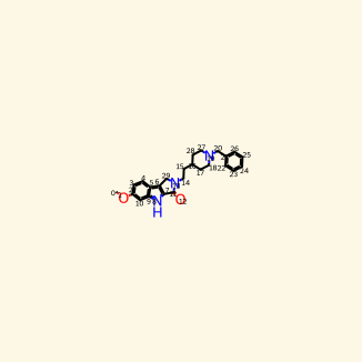 COc1ccc2c3c([nH]c2c1)C(=O)N(CCC1CCN(Cc2ccccc2)CC1)C3